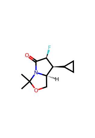 CC1(C)OC[C@@H]2[C@H](C3CC3)[C@H](F)C(=O)N21